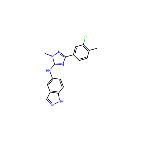 Cc1ccc(-c2nc(Nc3ccc4[nH]ncc4c3)n(C)n2)cc1Cl